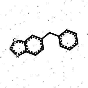 c1ccc(Cc2ccc3ncoc3c2)cc1